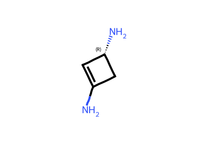 NC1=C[C@H](N)C1